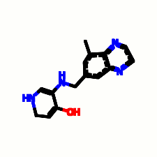 Cc1cc(CNC2=CNCC=C2O)cc2nccnc12